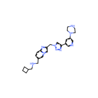 c1cc2nc(Cn3cc(-c4cncc(N5CCNCC5)c4)nn3)cn2cc1CNCC1CCC1